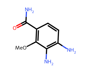 COc1c(C(N)=O)ccc(N)c1N